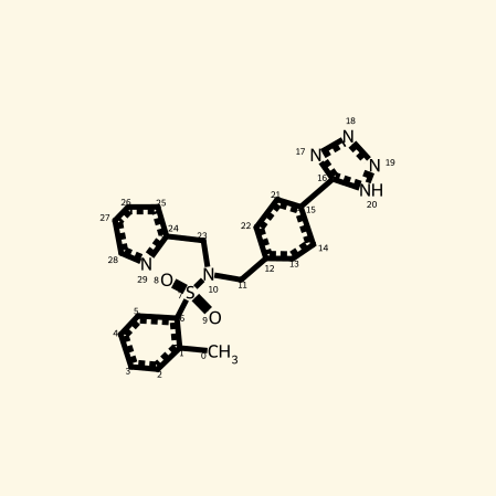 Cc1ccccc1S(=O)(=O)N(Cc1ccc(-c2nnn[nH]2)cc1)Cc1ccccn1